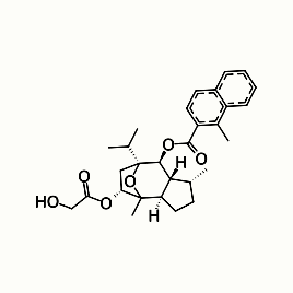 Cc1c(C(=O)O[C@H]2[C@@H]3[C@H](C)CC[C@H]3C3(C)O[C@@]2(C(C)C)C[C@H]3OC(=O)CO)ccc2ccccc12